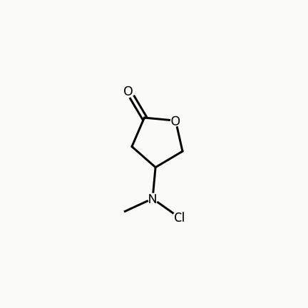 CN(Cl)C1COC(=O)C1